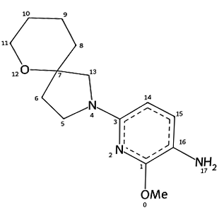 COc1nc(N2CCC3(CCCCO3)C2)ccc1N